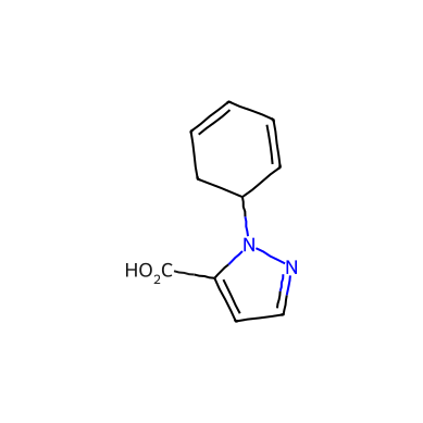 O=C(O)c1ccnn1C1C=CC=CC1